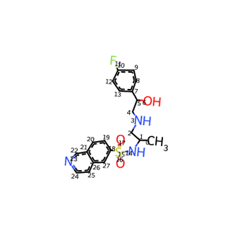 CC(CNCC(O)c1ccc(F)cc1)NS(=O)(=O)c1ccc2cnccc2c1